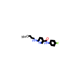 COCCCNc1ccc(C(=O)Nc2ccc(F)cc2)cn1